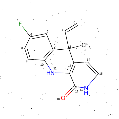 C=CC1(C(F)(F)F)c2cc(F)ccc2Nc2c1cc[nH]c2=O